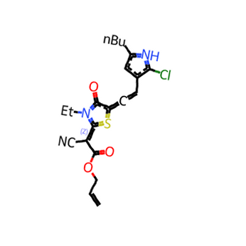 C=CCOC(=O)/C(C#N)=c1\sc(=C=Cc2cc(CCCC)[nH]c2Cl)c(=O)n1CC